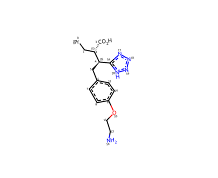 CC(C)C[C@H](C(=O)O)[C@H](Cc1ccc(OCCN)cc1)c1nnn[nH]1